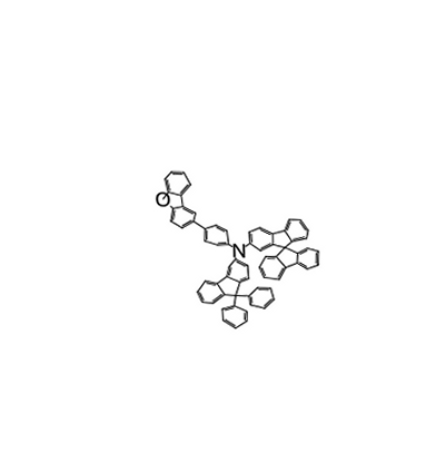 c1ccc(C2(c3ccccc3)c3ccccc3-c3cc(N(c4ccc(-c5ccc6oc7ccccc7c6c5)cc4)c4ccc5c(c4)C4(c6ccccc6-c6ccccc64)c4ccccc4-5)ccc32)cc1